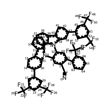 N#Cc1cc(-n2c3ccccc3c3ccc(-c4cc(C(F)(F)F)cc(C(F)(F)F)c4)cc32)c(-n2c3ccccc3c3ccc(-c4cc(C(F)(F)F)cc(C(F)(F)F)c4)cc32)cc1-c1ccccc1C(F)(F)F